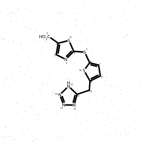 O=C(O)c1cnc(Sc2ccc(Cc3nnn[nH]3)s2)s1